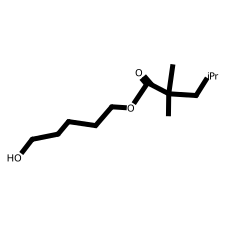 CC(C)CC(C)(C)C(=O)OCCCCCO